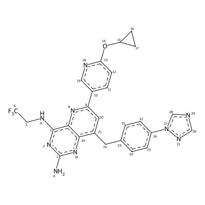 Nc1nc(NCC(F)(F)F)c2nc(-c3ccc(OC4CC4)nc3)cc(Cc3ccc(-n4cncn4)cc3)c2n1